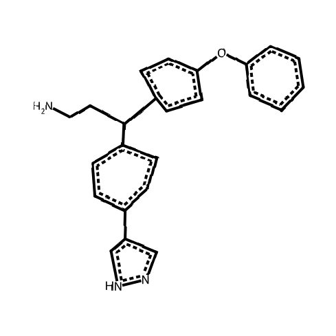 NCCC(c1ccc(Oc2ccccc2)cc1)c1ccc(-c2cn[nH]c2)cc1